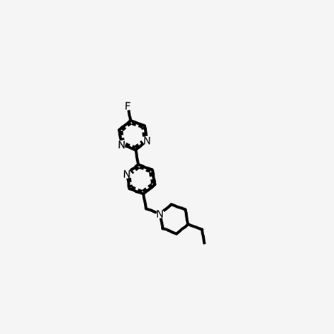 CCC1CCN(Cc2ccc(-c3ncc(F)cn3)nc2)CC1